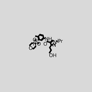 Cc1ccc(NC(=O)c2cn(C(C)C)nc2CCCO)cc1S(=O)(=O)N1CCOCC1